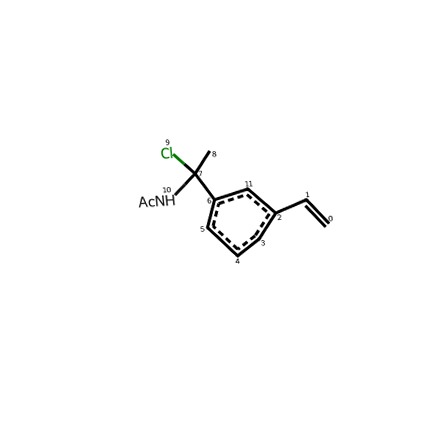 C=Cc1cccc(C(C)(Cl)NC(C)=O)c1